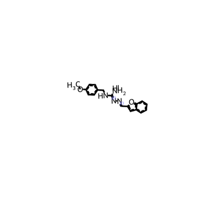 COc1ccc(CN/C(N)=N/N=C/c2cc3ccccc3o2)cc1.I